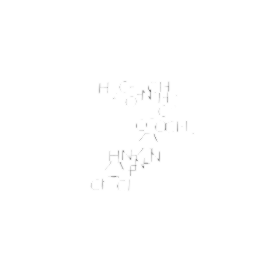 C=CC(=O)N(C)CCC(CC)Oc1cc2c(Nc3ccc(Cl)c(Cl)c3F)ncnc2cc1OC